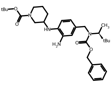 C[C@H](N(Cc1ccc(NC2CCCN(C(=O)OC(C)(C)C)C2)c(N)c1)C(=O)OCc1ccccc1)C(C)(C)C